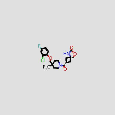 O=C1N[C@]2(CO1)C[C@@H](C(=O)N1CCC(COc3ccc(F)cc3Cl)(C(F)(F)F)CC1)C2